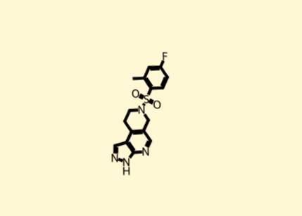 Cc1cc(F)ccc1S(=O)(=O)N1CCc2c(cnc3[nH]ncc23)C1